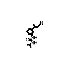 CC(C)NC(=O)Nc1cccc(C(I)CC#N)c1